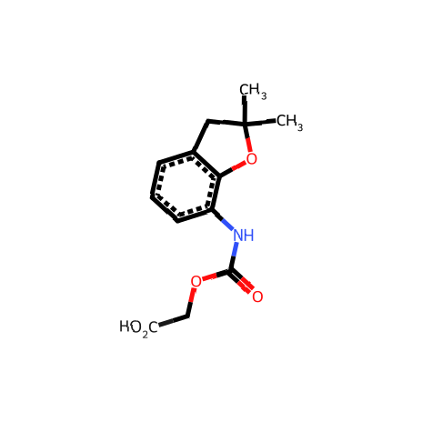 CC1(C)Cc2cccc(NC(=O)OCC(=O)O)c2O1